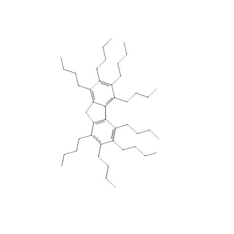 CCCCc1c2c(c(CCCC)c(CCCC)c1CCCC)-c1c(c(CCCC)c(CCCC)c(CCCC)c1CCCC)[CH]2